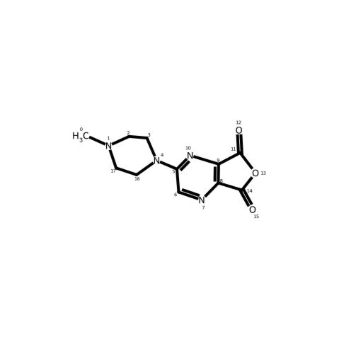 CN1CCN(c2cnc3c(n2)C(=O)OC3=O)CC1